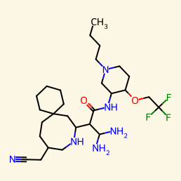 CCCCN1CCC(OCC(F)(F)F)C(NC(=O)C(C(N)N)C2CC3(CCCCC3)CCC(CC#N)CN2)C1